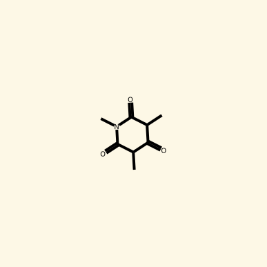 CC1C(=O)C(C)C(=O)N(C)C1=O